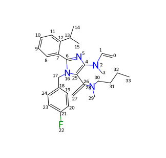 C=CN(C)c1nc(-c2ccccc2C(C)C)n(Cc2ccc(F)cc2)c1C(=C)N(C)CCCC